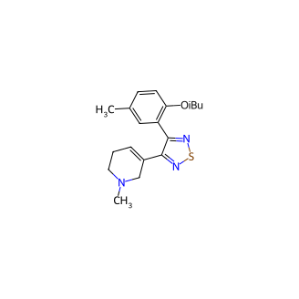 Cc1ccc(OCC(C)C)c(-c2nsnc2C2=CCCN(C)C2)c1